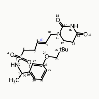 C[C@@H](NS(=O)(=O)CC/C=C/CN1CCC(=O)NC1=O)c1cccc(OCC(C)(C)C)c1